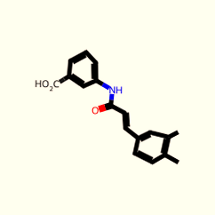 Cc1ccc(/C=C/C(=O)Nc2cccc(C(=O)O)c2)cc1C